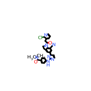 CN(C)C(=O)c1ccc(Nc2nccc(-c3cc(C#N)c4c(c3)CCN4C(=O)Cc3cccnc3Cl)n2)cc1